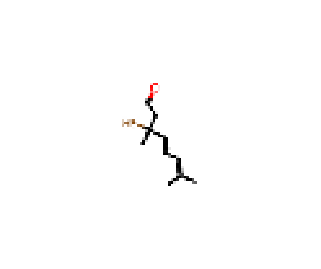 CC(C)=C/C=C/C(C)(S)CC=O